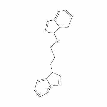 C1=CC(CC[CH2][Zr][CH]2C=Cc3ccccc32)c2ccccc21